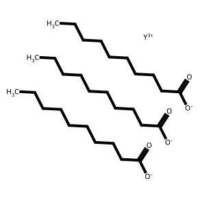 CCCCCCCCCC(=O)[O-].CCCCCCCCCC(=O)[O-].CCCCCCCCCC(=O)[O-].[Y+3]